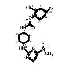 CN(C)c1ccnc(N[C@H]2CC[C@@H](NC(=S)Nc3ccc(Br)cc3Cl)CC2)n1